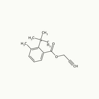 C#CCOC(=O)c1cccc(C)c1[Si](C)(C)C